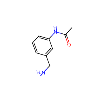 CC(=O)Nc1[c]c(CN)ccc1